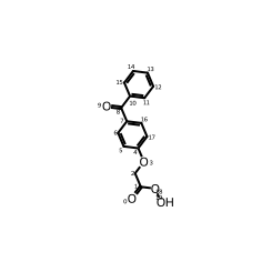 O=C(COc1ccc(C(=O)c2ccccc2)cc1)OO